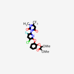 COC(=O)C(OC)Oc1ccccc1Oc1nc(-n2c(=O)cc(C(F)(F)F)n(C)c2=O)c(F)cc1Cl